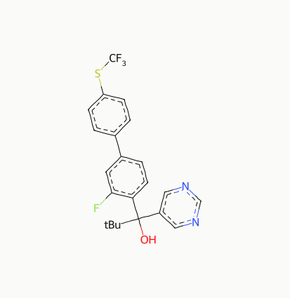 CC(C)(C)C(O)(c1cncnc1)c1ccc(-c2ccc(SC(F)(F)F)cc2)cc1F